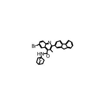 Cc1c(-c2ccc3c(c2)Cc2ccccc2-3)nc2ccc(Br)cc2c1C(=O)NC12CCC(CC1)CC2